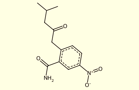 CC(C)CC(=O)Cc1ccc([N+](=O)[O-])cc1C(N)=O